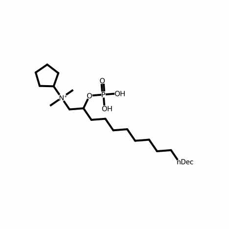 CCCCCCCCCCCCCCCCCCC(C[N+](C)(C)C1CCCC1)OP(=O)(O)O